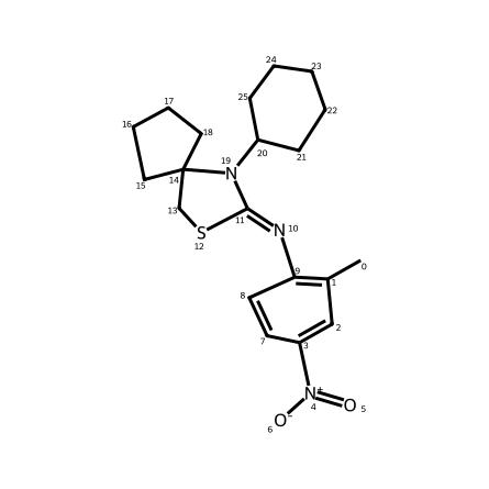 Cc1cc([N+](=O)[O-])ccc1N=C1SCC2(CCCC2)N1C1CCCCC1